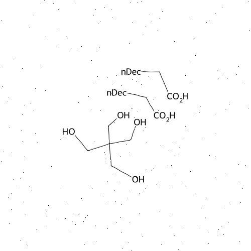 CCCCCCCCCCCC(=O)O.CCCCCCCCCCCC(=O)O.OCC(CO)(CO)CO